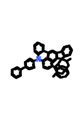 CC1CC2CC(C)C3(c4ccccc4-c4cc(-c5ccccc5N(c5ccc(C6=CC=CCC=C6)cc5)c5ccc(-c6ccccc6)cc5)ccc43)C(C1)C2